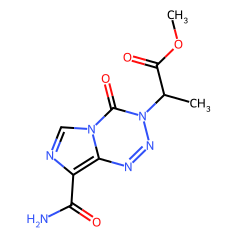 COC(=O)C(C)n1nnc2c(C(N)=O)ncn2c1=O